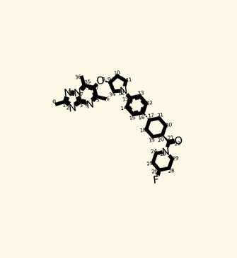 Cc1nc2nc(C)c(O[C@@H]3CCN(c4ccc([C@H]5CC[C@H](C(=O)N6CCC(F)CC6)CC5)cc4)C3)c(C)n2n1